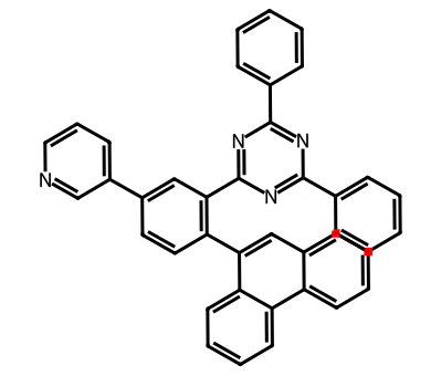 c1ccc(-c2nc(-c3ccccc3)nc(-c3cc(-c4cccnc4)ccc3-c3cc4ccccc4c4ccccc34)n2)cc1